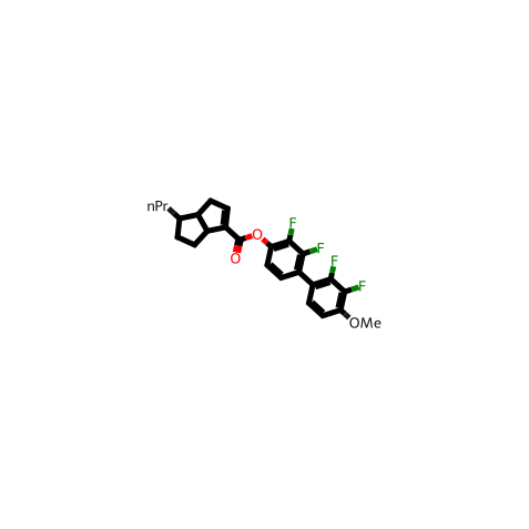 CCCC1CCC2C(C(=O)Oc3ccc(-c4ccc(OC)c(F)c4F)c(F)c3F)=CCC12